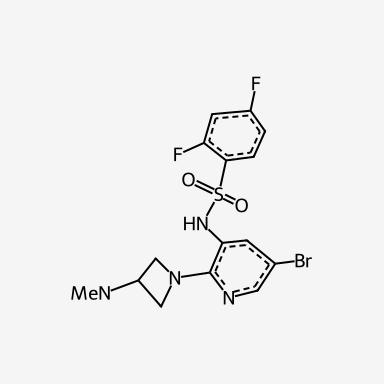 CNC1CN(c2ncc(Br)cc2NS(=O)(=O)c2ccc(F)cc2F)C1